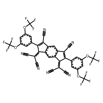 N#CC(C#N)=C1C(c2cc(OC(F)(F)F)cc(OC(F)(F)F)c2)=C(C#N)c2cc3c(cc21)C(=C(C#N)C#N)C(c1cc(OC(F)(F)F)cc(OC(F)(F)F)c1)=C3C#N